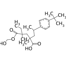 CCC(C)(CC(C)(CC(C)c1ccc(C(C)(C)C)cc1)C(=O)O)C(=O)OCO